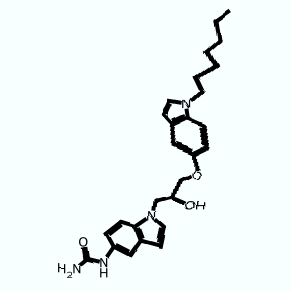 CCCCCCCn1ccc2cc(OCC(O)Cn3ccc4cc(NC(N)=O)ccc43)ccc21